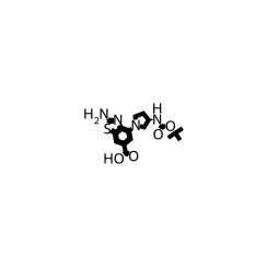 CC(C)(C)OC(=O)N[C@H]1CCN(c2cc(C(=O)O)cc3sc(N)nc23)C1